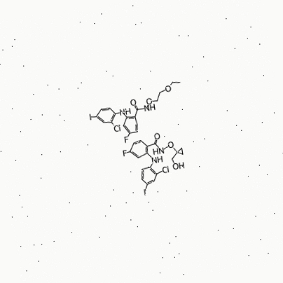 CCOCCONC(=O)c1ccc(F)cc1Nc1ccc(I)cc1Cl.O=C(NOC1(CO)CC1)c1ccc(F)cc1Nc1ccc(I)cc1Cl